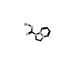 CC(C)(C)OC(=O)N1CCN2C=CC=CB21